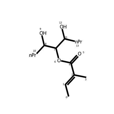 CC=C(C)C(=O)OC(C(O)CCC)C(O)CCC